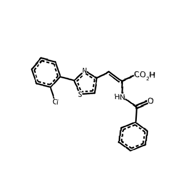 O=C(O)C(=Cc1csc(-c2ccccc2Cl)n1)NC(=O)c1ccccc1